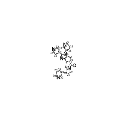 O=C(c1ccc2c(c1)nc(-c1ccncc1)n2-c1cccnc1)N1CCC(c2cccnc2)C1